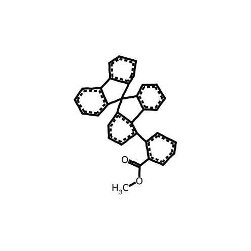 COC(=O)c1ccccc1-c1cccc2c1-c1ccccc1C21c2ccccc2-c2ccccc21